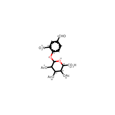 CC(=O)OC1C(Oc2ccc(C=O)cc2[N+](=O)[O-])OC(C(=O)O)C(OC(C)=O)C1OC(C)=O